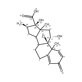 C[C@@H]1CC2C3CCC4=CC(=O)C=CC4(C)[C@@]3(Cl)[C@@H](O)CC2(C)[C@@]1(O)C(=O)O